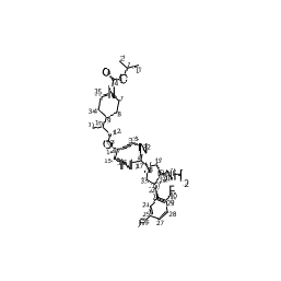 CC(C)OC(=O)N1CCC(C(C)COc2cnc(N3C[C@@H](N)[C@@H](c4cc(F)ccc4F)C3)nc2)CC1